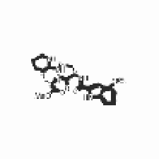 CCOc1cccc2[nH]c(C(=O)N[C@@H](CC(C)C)C(=O)N[C@@H](C[C@@H]3CCCNC3O)C(=O)OC)cc12